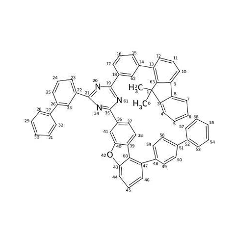 CC1(C)c2ccccc2-c2cccc(-c3cccc(-c4nc(-c5cccc(-c6ccccc6)c5)nc(-c5ccc6c(c5)oc5cccc(-c7ccc(-c8ccccc8)cc7)c56)n4)c3)c21